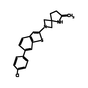 C=C1CCC2(CN(c3cc4ccc(-c5ccc(Cl)cc5)cc4s3)C2)N1